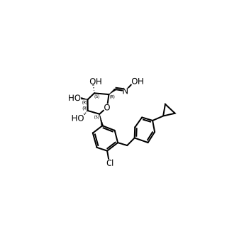 ON=C[C@H]1O[C@@H](c2ccc(Cl)c(Cc3ccc(C4CC4)cc3)c2)[C@H](O)[C@@H](O)[C@@H]1O